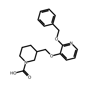 O=C(O)N1CCCC(COc2cccnc2OCc2ccccc2)C1